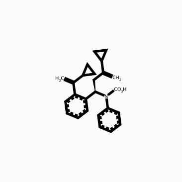 C=C(C[C@H](c1ccccc1C(=C)C1CC1)N(C(=O)O)c1ccccc1)C1CC1